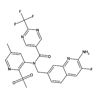 Cc1cnc(S(C)(=O)=O)c(N(Cc2ccc3cc(F)c(N)nc3c2)C(=O)c2cnc(C(F)(F)F)nc2)c1